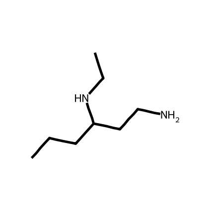 CCCC(CCN)NCC